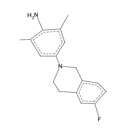 Cc1cc(N2CCc3cc(F)ccc3C2)cc(C)c1N